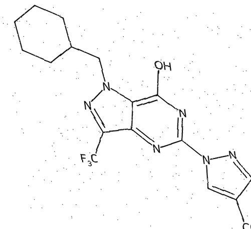 O=C(O)c1cnn(-c2nc(O)c3c(n2)c(C(F)(F)F)nn3CC2CCCCC2)c1